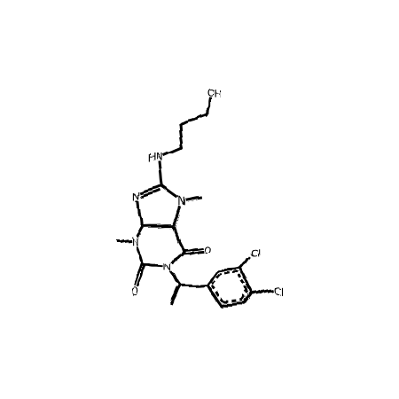 CC(c1ccc(Cl)c(Cl)c1)N1C(=O)C2C(N=C(NCCCO)N2C)N(C)C1=O